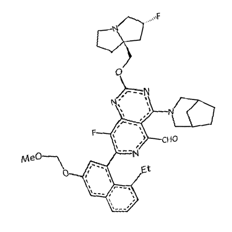 CCc1cccc2cc(OCOC)cc(-c3nc(C=O)c4c(N5CC6CCC(C6)C5)nc(OC[C@@]56CCCN5C[C@H](F)C6)nc4c3F)c12